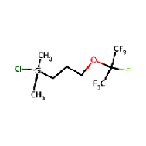 C[Si](C)(Cl)CCCOC(F)(C(F)(F)F)C(F)(F)F